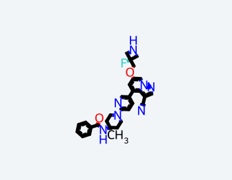 CC1(NC(=O)c2ccccc2)CCN(c2ccc(-c3cc(OCC4(F)CNC4)cn4ncc(C#N)c34)cn2)CC1